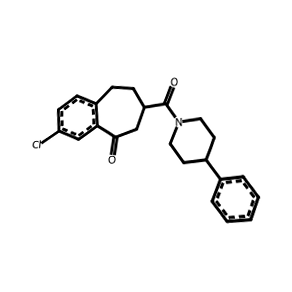 O=C1CC(C(=O)N2CCC(c3ccccc3)CC2)CCc2ccc(Cl)cc21